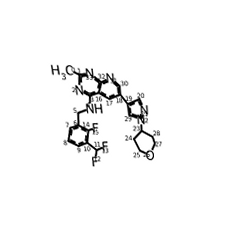 Cc1nc(NCc2cccc(C(F)F)c2F)c2cc(-c3cnn(C4CCOCC4)c3)cnc2n1